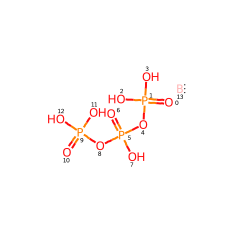 O=P(O)(O)OP(=O)(O)OP(=O)(O)O.[B]